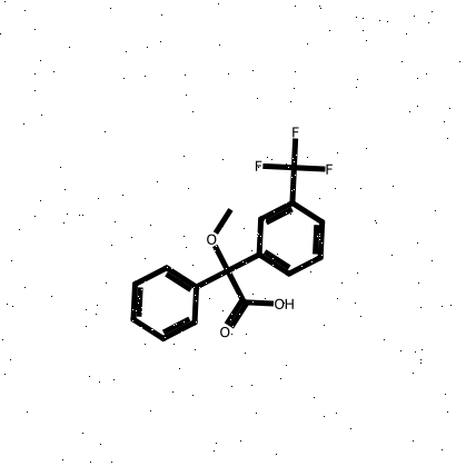 COC(C(=O)O)(c1ccccc1)c1cccc(C(F)(F)F)c1